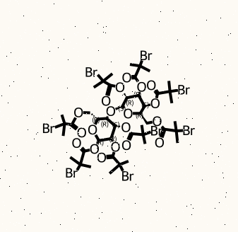 CC(C)(Br)C(=O)OC[C@H]1O[C@@H](O[C@H]2[C@H](OC(=O)C(C)(C)Br)[C@@H](OC(=O)C(C)(C)Br)[C@@H](OC(=O)C(C)(C)Br)O[C@@H]2COC(=O)C(C)(C)Br)[C@H](OC(=O)C(C)(C)Br)[C@@H](OC(=O)C(C)(C)Br)[C@H]1OC(=O)C(C)(C)Br